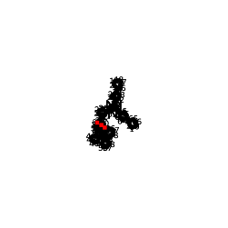 c1ccc(-c2ccc(-c3nc(-c4ccc(-c5ccccc5)cc4)nc(-c4cccc(-c5cccc(-c6cccc7c6C(c6ccccc6)(c6ccccc6)c6ccccc6-7)c5)c4)n3)cc2)cc1